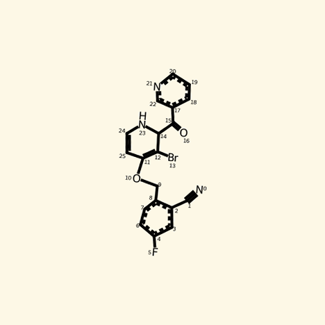 N#Cc1cc(F)ccc1COC1=C(Br)C(C(=O)c2cccnc2)NC=C1